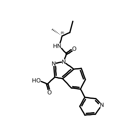 CC[C@@H](C)NC(=O)n1nc(C(=O)O)c2cc(-c3cccnc3)ccc21